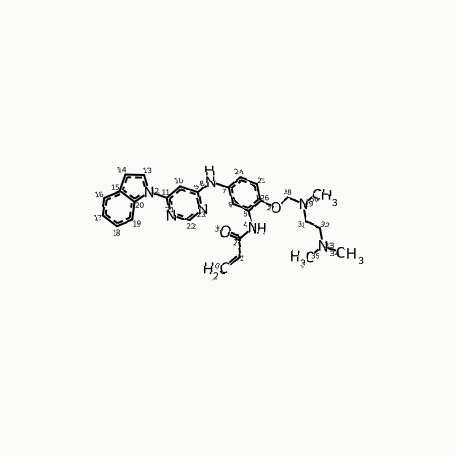 C=CC(=O)Nc1cc(Nc2cc(-n3ccc4ccccc43)ncn2)ccc1OCN(C)CCN(C)C